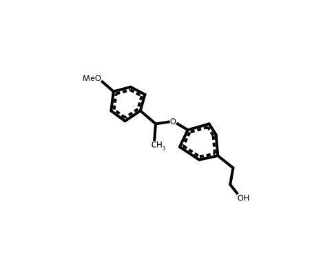 COc1ccc(C(C)Oc2ccc(CCO)cc2)cc1